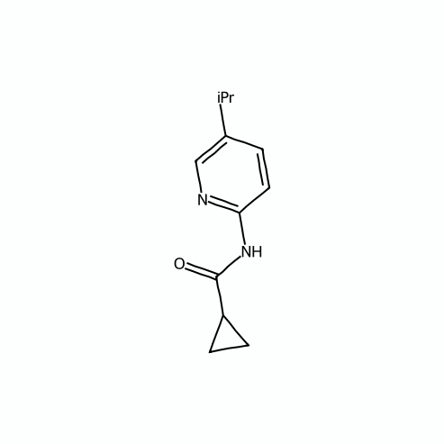 CC(C)c1ccc(NC(=O)C2CC2)nc1